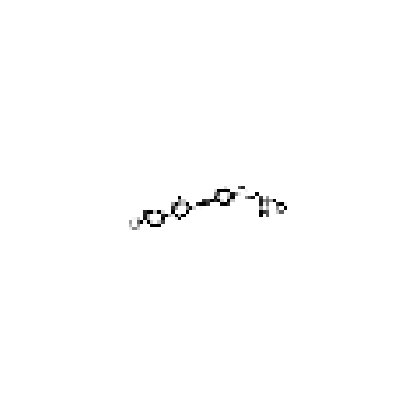 Clc1ccc(-c2ccc(C#Cc3ccc(OCCNCC4CC4)cc3)nc2)cc1